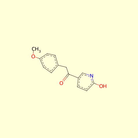 COc1ccc(CC(=O)c2ccc(O)nc2)cc1